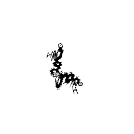 O=C1CCC(c2ccc(CC3CCCOC3OC3OCCCC3Cc3ccc(C4=NNC(=O)CC4)cc3)cc2)=NN1